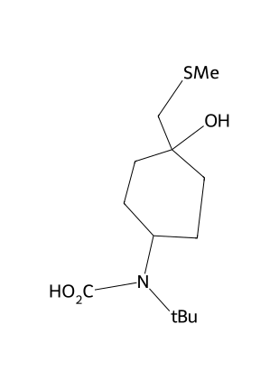 CSCC1(O)CCC(N(C(=O)O)C(C)(C)C)CC1